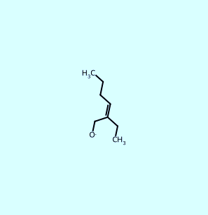 CCCC=C(CC)C[O]